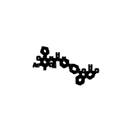 CC(=O)c1c(C)c2cnc(Nc3ccc(N4CCN(Cc5ccccc5N5CCC(=O)NC5=O)CC4)cn3)nc2n(C2CCCC2)c1=O